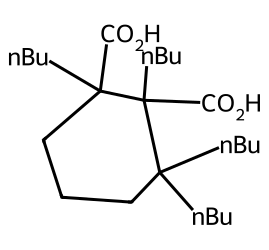 CCCCC1(CCCC)CCCC(CCCC)(C(=O)O)C1(CCCC)C(=O)O